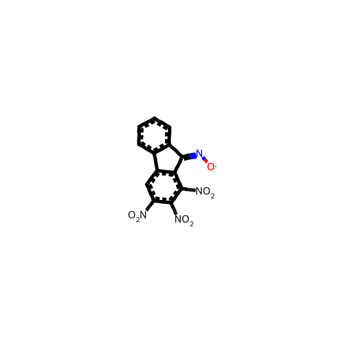 [O]N=C1c2ccccc2-c2cc([N+](=O)[O-])c([N+](=O)[O-])c([N+](=O)[O-])c21